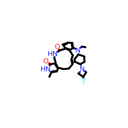 CCN(c1cccc2c1C/C=C/CCc1cc(C)[nH]c(=O)c1CNC2=O)[C@H]1CC[C@H](N2CC(F)C2)CC1